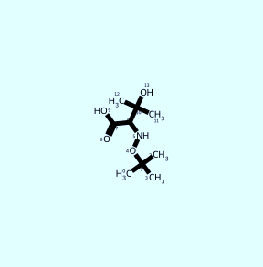 CC(C)(C)ONC(C(=O)O)C(C)(C)O